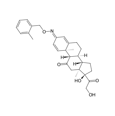 Cc1ccccc1CO/N=C1\C=C[C@@]2(C)C(=C1)CC[C@@H]1[C@@H]2C(=O)C[C@@]2(C)[C@H]1CC[C@]2(O)C(=O)CO